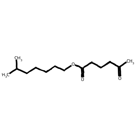 CC(=O)CCCC(=O)OCCCCCC(C)C